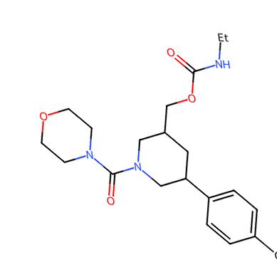 CCNC(=O)OCC1CC(c2ccc(C(F)(F)F)cc2)CN(C(=O)N2CCOCC2)C1